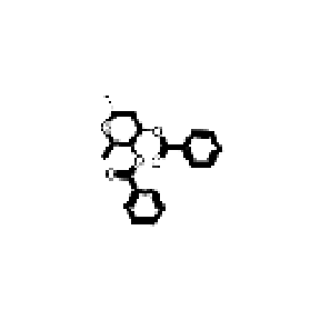 C[C]1O[C@H](C)C[C@H](OC(=O)c2ccccc2)[C@H]1OC(=O)c1ccccc1